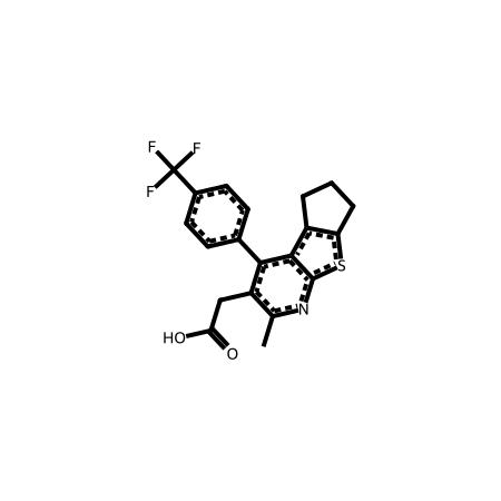 Cc1nc2sc3c(c2c(-c2ccc(C(F)(F)F)cc2)c1CC(=O)O)CCC3